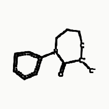 [CH2-][C+]1CCCCN(c2ccccc2)C1=O